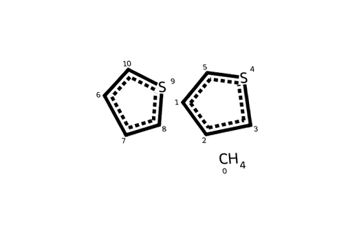 C.c1ccsc1.c1ccsc1